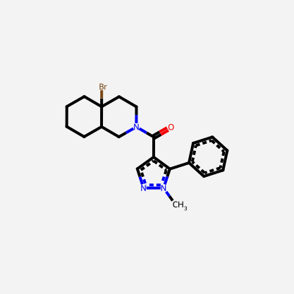 Cn1ncc(C(=O)N2CCC3(Br)CCCCC3C2)c1-c1ccccc1